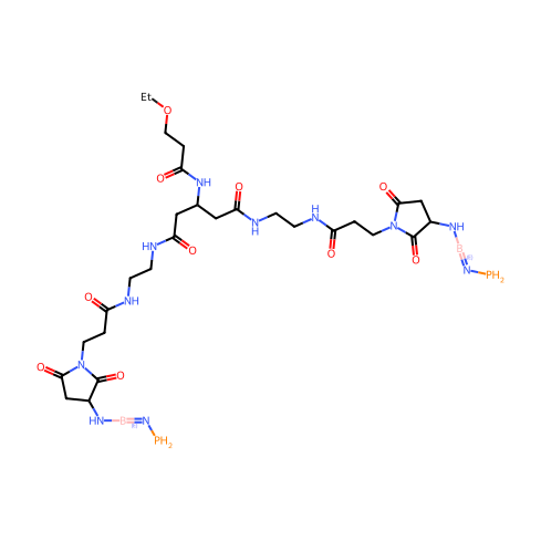 CCOCCC(=O)NC(CC(=O)NCCNC(=O)CCN1C(=O)CC(N/B=N/P)C1=O)CC(=O)NCCNC(=O)CCN1C(=O)CC(N/B=N/P)C1=O